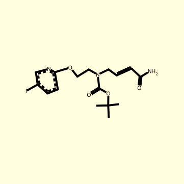 CC(C)(C)OC(=O)N(C/C=C/C(N)=O)CCOc1ccc(I)cn1